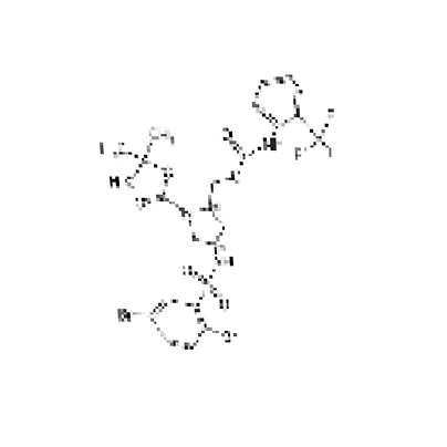 CC(C)(C)OC(=O)N1C[C@H](NS(=O)(=O)c2cc(Br)ccc2Br)C[C@@H]1COC(=O)Nc1ccccc1C(F)(F)F